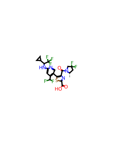 C[C@H]1CC(F)(F)CN1C(=O)c1nc(C(=O)O)sc1-c1cnc(NC(C2CC2)C(F)(F)F)cc1C(F)F